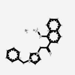 COc1c(C(=O)C[n+]2ccn(Cc3ccccc3)c2)ccc2ccccc12.[Br-]